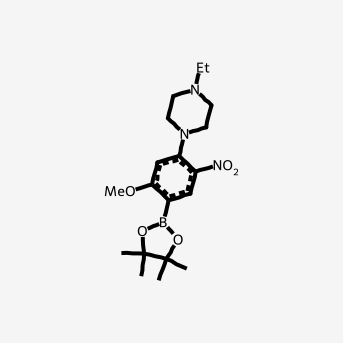 CCN1CCN(c2cc(OC)c(B3OC(C)(C)C(C)(C)O3)cc2[N+](=O)[O-])CC1